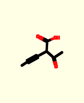 CC#CC(C(C)=O)C(=O)O